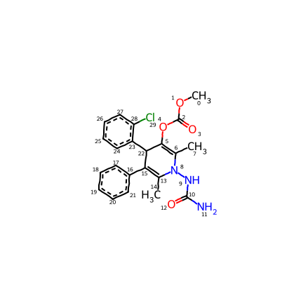 COC(=O)OC1=C(C)N(NC(N)=O)C(C)=C(c2ccccc2)C1c1ccccc1Cl